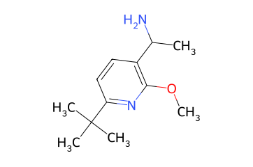 COc1nc(C(C)(C)C)ccc1C(C)N